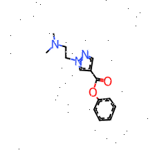 CN(C)CCn1cc(C(=O)Oc2ccccc2)cn1